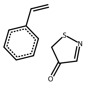 C=Cc1ccccc1.O=C1C=NSC1